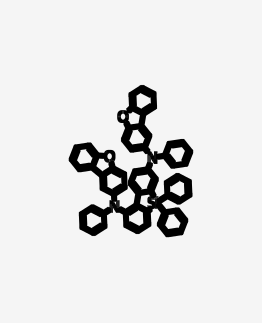 c1ccc(N(c2ccc3c(c2)[Si](c2ccccc2)(c2ccccc2)c2cccc(N(c4ccccc4)c4ccc5oc6ccccc6c5c4)c2-3)c2ccc3oc4ccccc4c3c2)cc1